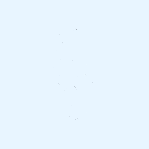 Fc1cc(-c2nc3c(c(N4CCOCC4)n2)SC(CN2CCNCC2)C3)c2cc[nH]c2c1